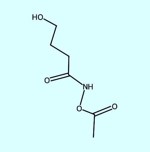 CC(=O)ONC(=O)CCCO